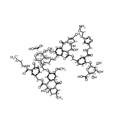 COCCNC(=O)c1cc(COC(=O)N2c3cc(OCCCCCOc4cc5c(cc4OC)C(=O)N4C=C(C)C[C@H]4C(O)N5C(=O)OCc4ccc(O[C@@H]5O[C@H](C(=O)O)[C@@H](O)[C@H](O)[C@H]5O)c(C(=O)NCc5cn(CCON)nn5)c4)c(OC)cc3C(=O)N3C=C(C)C[C@H]3C2O)ccc1O[C@@H]1O[C@H](C(=O)O)[C@@H](O)[C@H](O)[C@H]1O